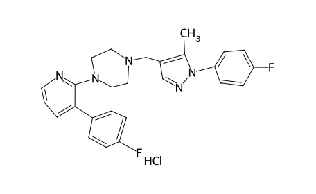 Cc1c(CN2CCN(c3ncccc3-c3ccc(F)cc3)CC2)cnn1-c1ccc(F)cc1.Cl